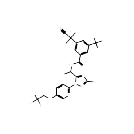 CC(NC(=O)c1cc(C(F)(F)F)cc(C(C)(C)C#N)c1)c1nc(Br)nn1-c1ccc(OCC(F)(F)F)cn1